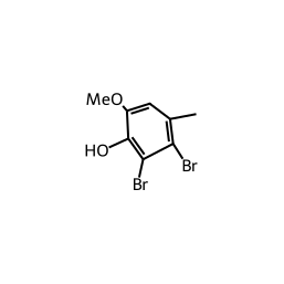 COc1cc(C)c(Br)c(Br)c1O